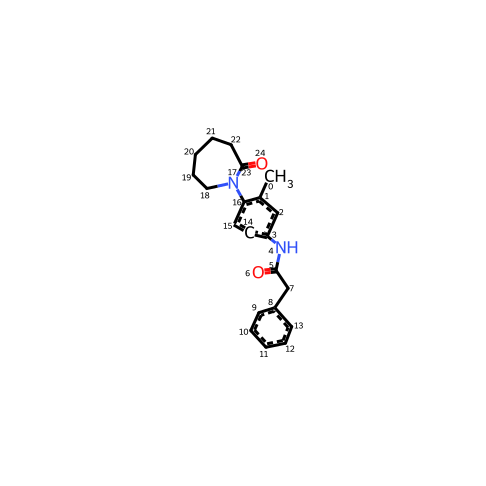 Cc1cc(NC(=O)Cc2ccccc2)ccc1N1CCCCCC1=O